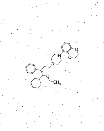 CCOC(C1CCCCC1)C(CCN1CCN(c2cccc3c2OCCO3)CC1)c1ccccc1